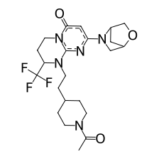 CC(=O)N1CCC(CCN2c3nc(N4CC5CC4CO5)cc(=O)n3CCC2C(F)(F)F)CC1